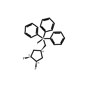 F[C@@H]1C[C@H](CP(I)(c2ccccc2)(c2ccccc2)c2ccccc2)C[C@@H]1F